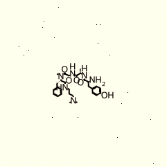 C[C@@H](NC(=O)[C@@H](N)Cc1ccc(O)cc1)C(=O)NCC(=O)N(C)[C@@H](Cc1ccccc1)C(=O)NCCCN(C)C